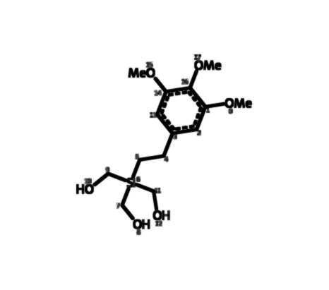 COc1cc(CC[Si](CO)(CO)CO)cc(OC)c1OC